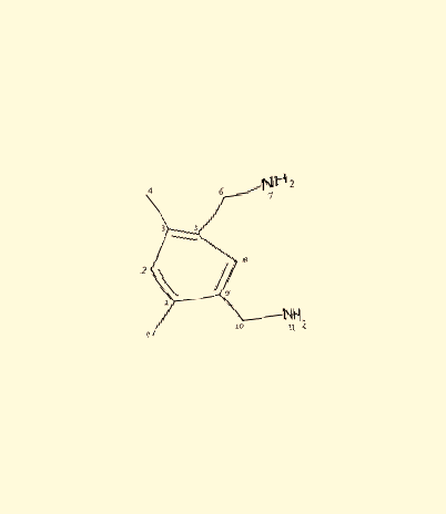 Cc1cc(C)c(CN)cc1CN